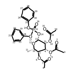 CC(=O)O[C@@H]1[C@@H](OC(C)=O)[C@H](C)O[C@H](OP(=O)(Oc2ccccc2)Oc2ccccc2)[C@@H]1OC(C)=O